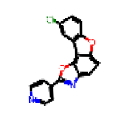 Clc1ccc2oc3ccc4nc(-c5ccncc5)oc4c3c2c1